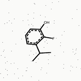 [CH2]C(C)c1cccc(O)c1F